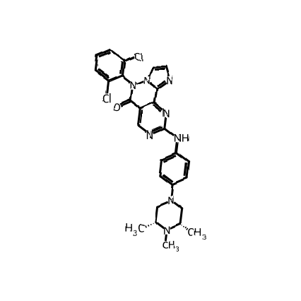 C[C@@H]1CN(c2ccc(Nc3ncc4c(=O)n(-c5c(Cl)cccc5Cl)n5ccnc5c4n3)cc2)C[C@H](C)N1C